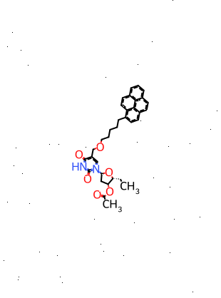 CC[C@H]1OC(n2cc(COCCCCCc3ccc4ccc5cccc6ccc3c4c56)c(=O)[nH]c2=O)C[C@@H]1OC(C)=O